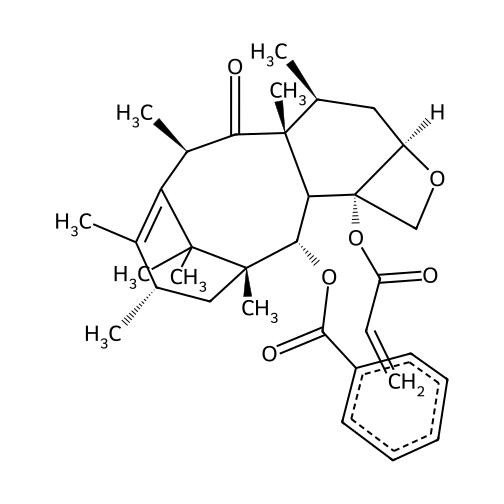 C=CC(=O)O[C@@]12CO[C@@H]1C[C@H](C)[C@@]1(C)C(=O)[C@H](C)C3=C(C)[C@@H](C)C[C@@](C)([C@@H](OC(=O)c4ccccc4)C12)C3(C)C